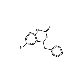 O=C1Nc2ccc(Br)cc2C(Cc2ccccc2)O1